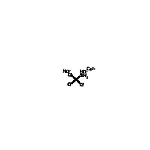 [Ca+2].[OH-].[OH-].[SiH3]C(Cl)(Cl)Cl